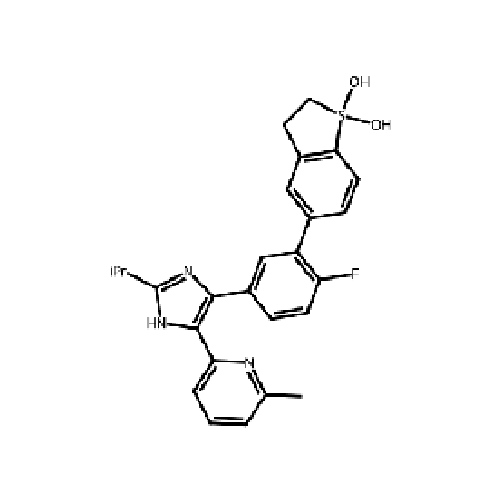 Cc1cccc(-c2[nH]c(C(C)C)nc2-c2ccc(F)c(-c3ccc4c(c3)CCS4(O)O)c2)n1